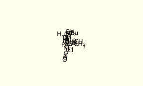 CC(C)(C)[Si](C)(C)OC1CO[C@H]2[C@@H]1OC[C@H]2Oc1c(F)c2nc(-c3ccc(N4CCOCC4)cc3)c(Cl)cc2n1COCC[Si](C)(C)C